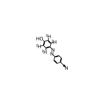 [2H]c1c([2H])c(N=Nc2ccc(C#N)cc2)c([2H])c([2H])c1O